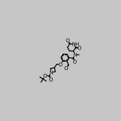 CN(C(=O)c1cccc(OCC2CN(C(=O)OC(C)(C)C)C2)c1C=O)C1CCC(=O)NC1=O